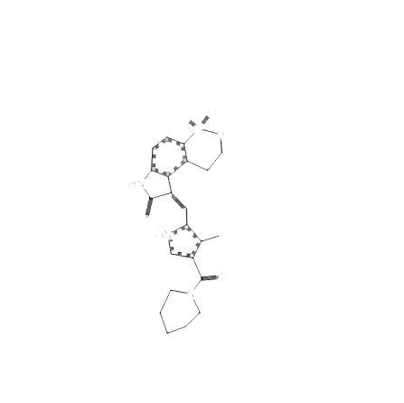 Cc1c(C(=O)N2CCCCC2)c[nH]c1/C=C1\C(=O)Nc2ccc3c(c21)CCOS3(=O)=O